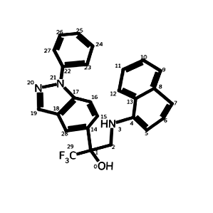 OC(CNc1cccc2ccccc12)(c1ccc2c(cnn2-c2ccccc2)c1)C(F)(F)F